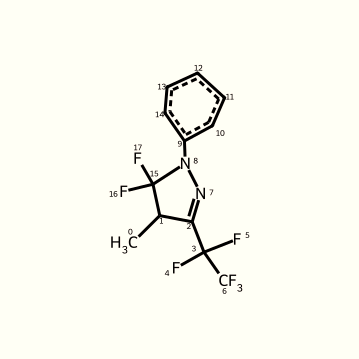 CC1C(C(F)(F)C(F)(F)F)=NN(c2ccccc2)C1(F)F